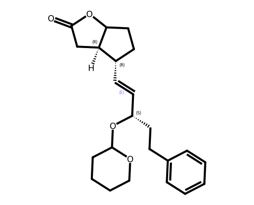 O=C1C[C@H]2C(CC[C@@H]2/C=C/[C@H](CCc2ccccc2)OC2CCCCO2)O1